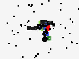 COc1cc(F)c(CC(NC(=O)c2ccc(-c3ccccc3Cl)nc2)C(=O)N(C)C#N)c(F)c1